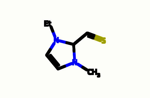 CCN1C=CN(C)C1C=S